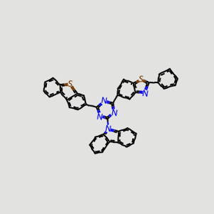 c1ccc(-c2nc3cc(-c4nc(-c5ccc6c(c5)sc5ccccc56)nc(-n5c6ccccc6c6ccccc65)n4)ccc3s2)cc1